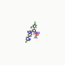 O=S(=O)(Nc1cc(-c2ccc(F)cc2F)cc(-n2cnc3cc(-c4ccc(F)cn4)ccc32)c1)C1CC1